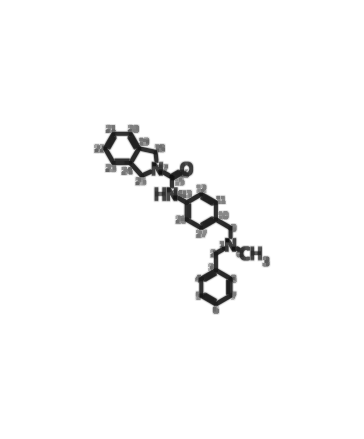 CN(Cc1ccccc1)Cc1ccc(NC(=O)N2Cc3ccccc3C2)cc1